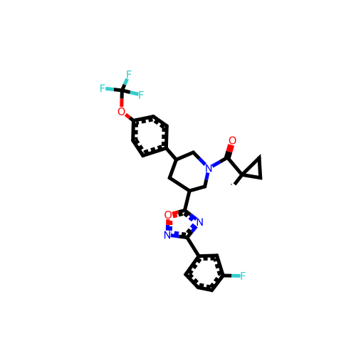 [CH2]C1(C(=O)N2CC(c3ccc(OC(F)(F)F)cc3)CC(c3nc(-c4cccc(F)c4)no3)C2)CC1